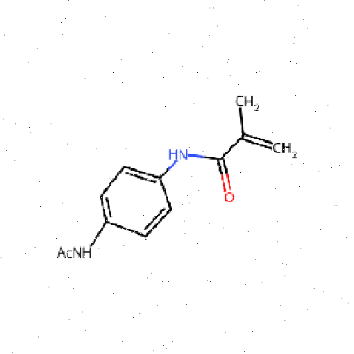 C=C(C)C(=O)Nc1c[c]c(NC(C)=O)cc1